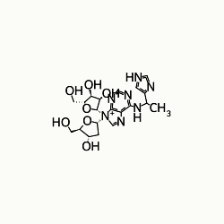 CC(Nc1ncnc2c1N=C[N+]2([C@@H]1C[C@H](O)[C@@H](CO)O1)[C@@H]1O[C@H](CO)[C@@H](O)[C@H]1O)c1c[nH]cn1